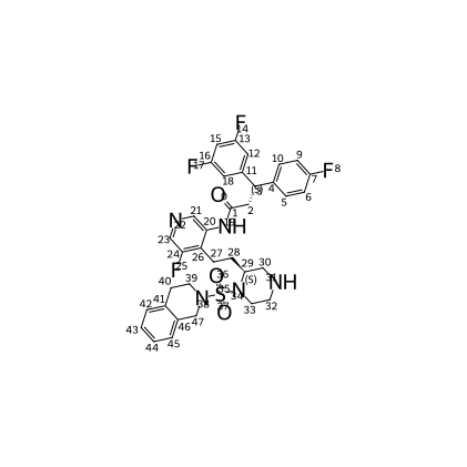 O=C(C[C@@H](c1ccc(F)cc1)c1cc(F)cc(F)c1)Nc1cncc(F)c1CC[C@H]1CNCCN1S(=O)(=O)N1CCc2ccccc2C1